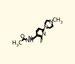 CC(=O)N/N=C/c1ccc(N2CCN(C)CC2)nc1F